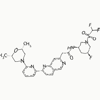 C[C@@H]1CN(c2cccc(-c3ccc4cnc(CC(=O)N[C@@H]5C[C@H](F)CN(S(=O)(=O)C(F)F)C5)cc4n3)n2)C[C@H](C)O1